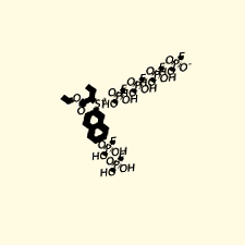 CCOC(=O)C(CC)[S+](C)c1ccc2ccccc2c1.O=P(O)(O)F.O=P(O)(O)F.O=P(O)(O)F.O=P(O)(O)F.O=P(O)(O)F.O=P([O-])(O)F